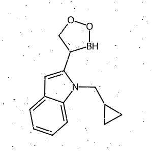 B1OOCC1c1cc2ccccc2n1CC1CC1